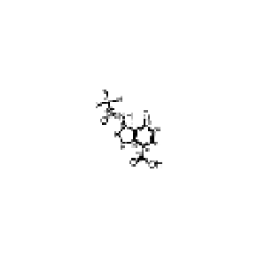 CC(C)(C)[S@+]([O-])NC1CCc2c(C(=O)O)ccc(F)c21